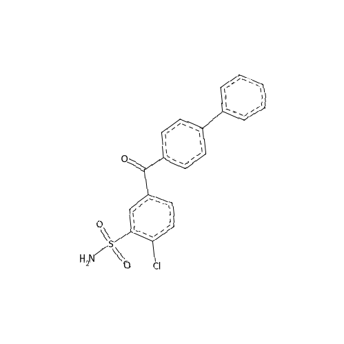 NS(=O)(=O)c1cc(C(=O)c2ccc(-c3ccccc3)cc2)ccc1Cl